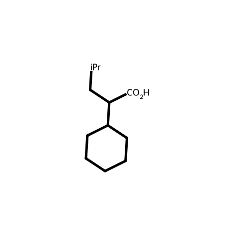 CC(C)CC(C(=O)O)C1CCCCC1